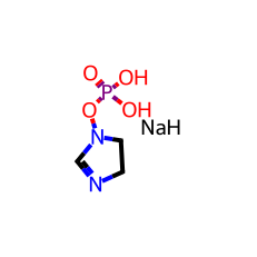 O=P(O)(O)ON1C=NCC1.[NaH]